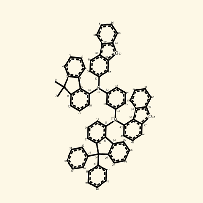 CC1(C)c2ccccc2-c2c(N(c3cccc(N(c4cccc5c4-c4ccccc4C5(c4ccccc4)c4ccccc4)c4cccc5oc6ccccc6c45)c3)c3ccc4c(c3)oc3ccccc34)cccc21